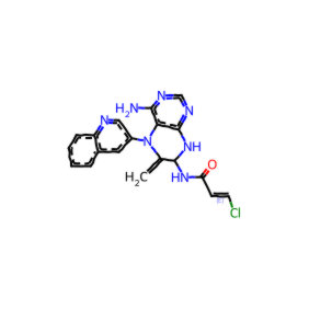 C=C1C(NC(=O)/C=C/Cl)Nc2ncnc(N)c2N1c1cnc2ccccc2c1